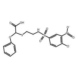 O=C(O)C(Oc1ccccc1)SCCNS(=O)(=O)c1ccc(Cl)c([N+](=O)[O-])c1